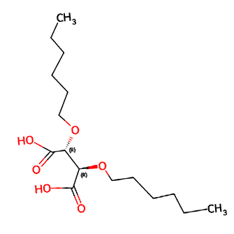 CCCCCCO[C@@H](C(=O)O)[C@@H](OCCCCCC)C(=O)O